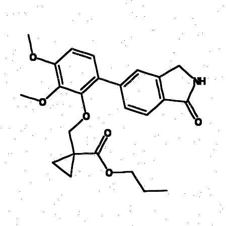 CCCOC(=O)C1(COc2c(-c3ccc4c(c3)CNC4=O)ccc(OC)c2OC)CC1